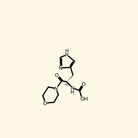 O=C(O)N[C@@H](Cc1c[nH]cn1)C(=O)N1CCOCC1